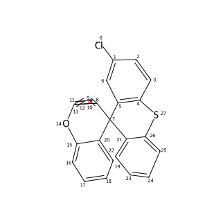 Clc1ccc2c(c1)C1(c3ccccc3Oc3ccccc31)c1ccccc1S2